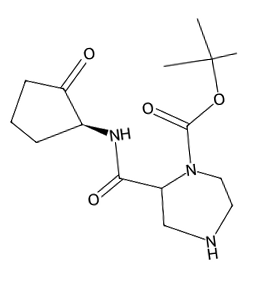 CC(C)(C)OC(=O)N1CCNCC1C(=O)N[C@H]1CCCC1=O